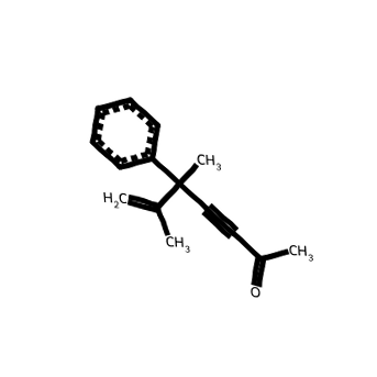 C=C(C)C(C)(C#CC(C)=O)c1ccccc1